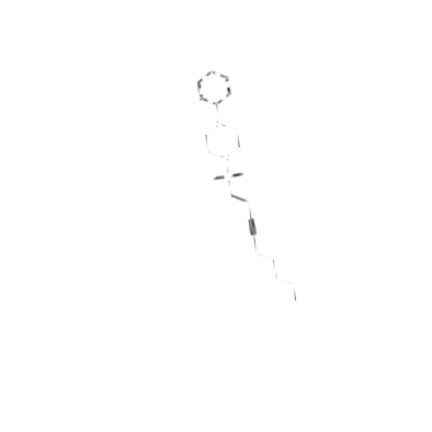 CCCCCC#CC=CS(=O)(=O)N1CCN(c2ccccc2F)CC1